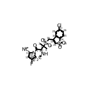 CC(C)([C@H](NC(=O)O)C(=O)N1C[C@@H](F)C[C@H]1C#N)S(=O)(=O)CC1=CS(=O)(=O)c2ccc(Cl)cc21